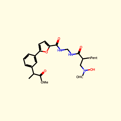 CCCCCC(CN(O)C=O)C(=O)NCNC(=O)c1ccc(-c2cccc(C(C)C(=O)OC)c2)o1